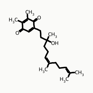 CC(C)=CCCC(C)=CCCC(C)(O)CCC1=CC(=O)C(C)=C(C)C1=O